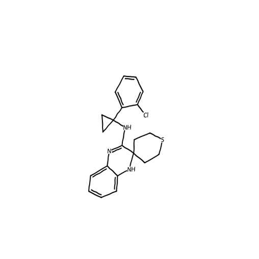 Clc1ccccc1C1(NC2=Nc3ccccc3NC23CCSCC3)CC1